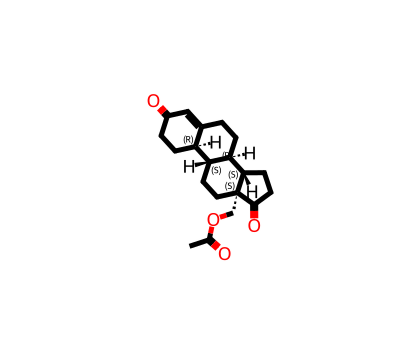 CC(=O)OC[C@]12CC[C@H]3[C@@H](CCC4=CC(=O)CC[C@@H]43)[C@@H]1CCC2=O